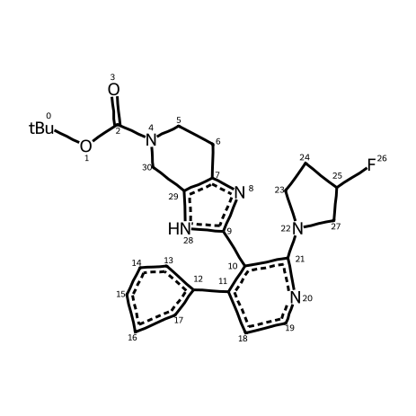 CC(C)(C)OC(=O)N1CCc2nc(-c3c(-c4ccccc4)ccnc3N3CCC(F)C3)[nH]c2C1